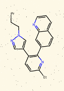 CCc1ccc(-c2cnn(CCC(C)C)c2)c(-c2ccc3cccnc3c2)n1